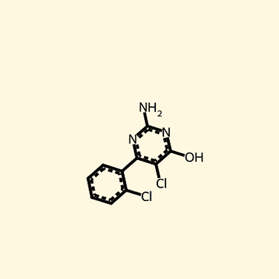 Nc1nc(O)c(Cl)c(-c2ccccc2Cl)n1